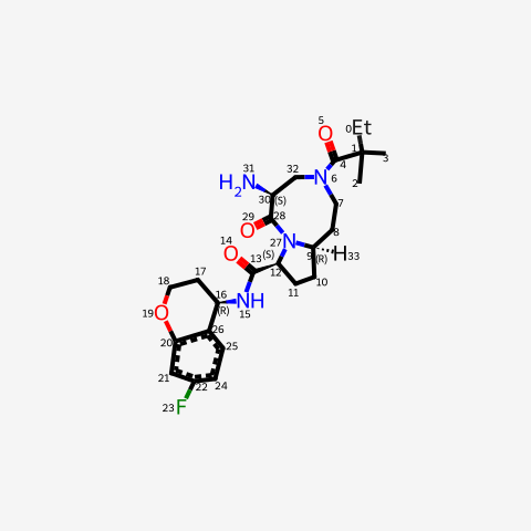 CCC(C)(C)C(=O)N1CC[C@H]2CC[C@@H](C(=O)N[C@@H]3CCOc4cc(F)ccc43)N2C(=O)[C@@H](N)C1